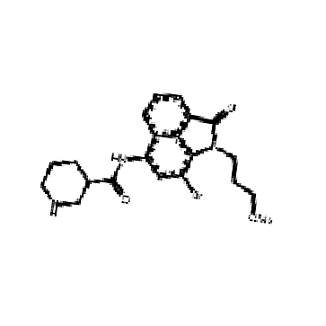 COCCCN1C(=O)c2cccc3c(NC(=O)C4CCCNC4)cc(Br)c1c23